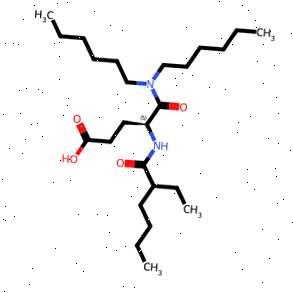 CCCCCCN(CCCCCC)C(=O)[C@H](CCC(=O)O)NC(=O)C(CC)CCCC